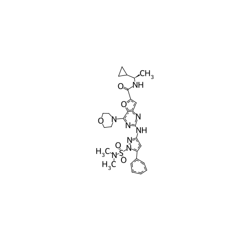 C[C@@H](NC(=O)c1cc2nc(Nc3cc(-c4ccccc4)n(S(=O)(=O)N(C)C)n3)nc(N3CCOCC3)c2o1)C1CC1